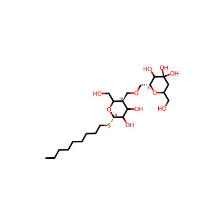 CCCCCCCCCS[C@@H]1OC(CO)[C@@H](COC[C@H]2OC(CO)CC(O)(O)C2O)C(O)C1O